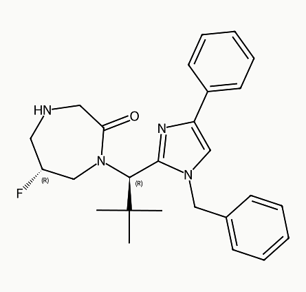 CC(C)(C)[C@H](c1nc(-c2ccccc2)cn1Cc1ccccc1)N1C[C@H](F)CNCC1=O